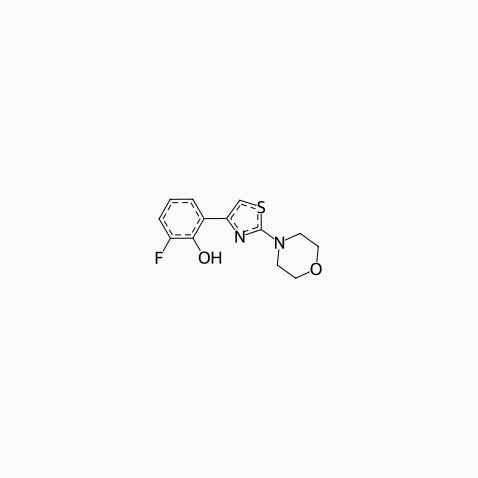 Oc1c(F)cccc1-c1csc(N2CCOCC2)n1